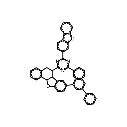 c1ccc(-c2cccc(-c3ccc4c(c3)C3C(c5nc(-c6ccccc6)nc(-c6ccc7c(c6)oc6ccccc67)n5)Cc5ccccc5C3O4)c2)cc1